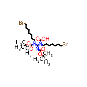 CC(C)(C)OC(=O)/N=C(\N(CCCCCCCBr)C(=O)O)N(CCCCCCCBr)C(=O)OC(C)(C)C